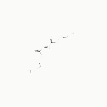 CCOOC(=O)N=NC(=O)OOCC